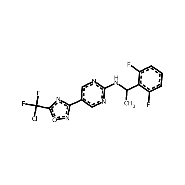 CC(Nc1ncc(-c2noc(C(F)(F)Cl)n2)cn1)c1c(F)cccc1F